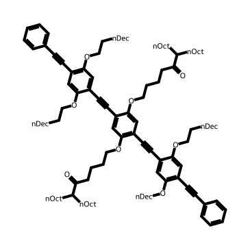 CCCCCCCCCCCCOc1cc(C#Cc2ccccc2)c(OCCCCCCCCCC)cc1C#Cc1cc(OCCCCC(=O)C(CCCCCCCC)CCCCCCCC)c(C#Cc2cc(OCCCCCCCCCCCC)c(C#Cc3ccccc3)cc2OCCCCCCCCCCCC)cc1OCCCCC(=O)C(CCCCCCCC)CCCCCCCC